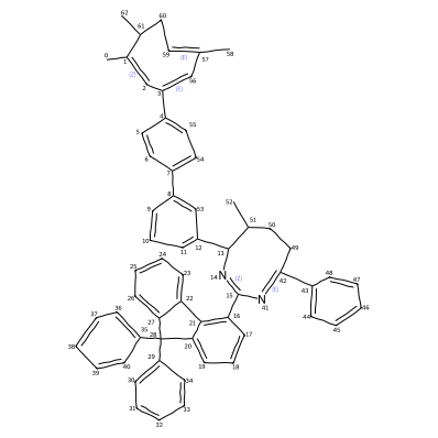 C/C1=C/C(c2ccc(-c3cccc(C4/N=C(c5cccc6c5-c5ccccc5C6(c5ccccc5)c5ccccc5)\N=C(\c5ccccc5)CCC4C)c3)cc2)=C\C(C)=C\CC1C